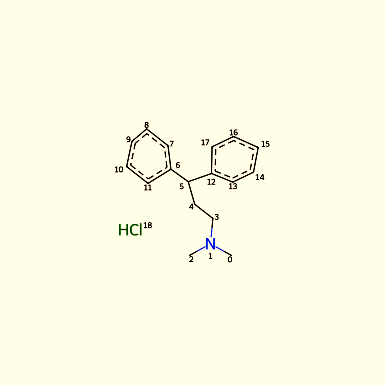 CN(C)CCC(c1ccccc1)c1ccccc1.Cl